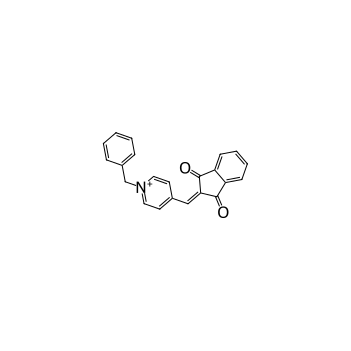 O=C1C(=Cc2cc[n+](Cc3ccccc3)cc2)C(=O)c2ccccc21